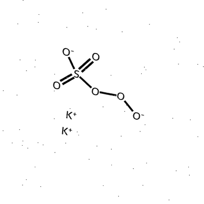 O=S(=O)([O-])OO[O-].[K+].[K+]